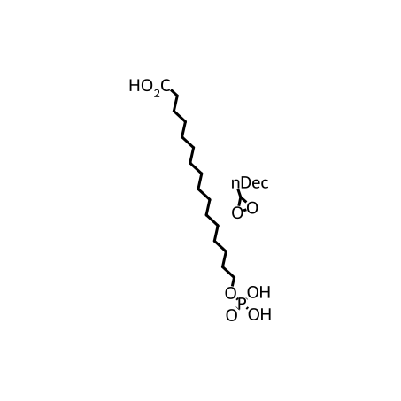 CCCCCCCCCCC1OO1.O=C(O)CCCCCCCCCCCCCCCOP(=O)(O)O